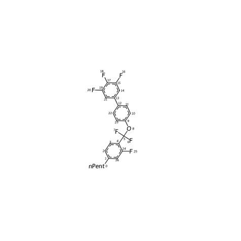 CCCCCc1ccc(C(F)(F)Oc2ccc(-c3cc(F)c(F)c(F)c3)cc2)c(F)c1